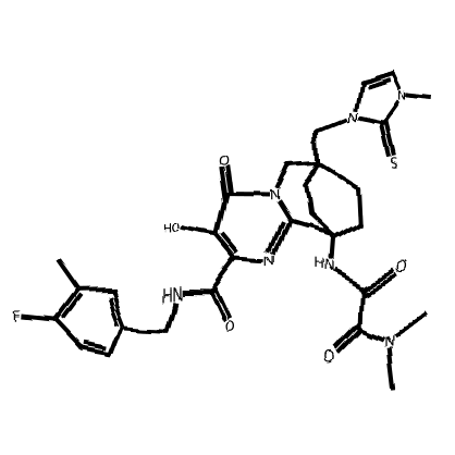 Cc1cc(CNC(=O)c2nc3n(c(=O)c2O)CC2(Cn4ccn(C)c4=S)CCC3(NC(=O)C(=O)N(C)C)CC2)ccc1F